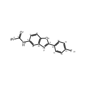 CC(C)C(=O)Nc1ccc2oc(-c3ccc(F)cc3)nc2c1